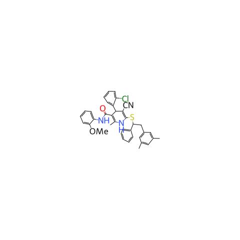 COc1ccccc1NC(=O)C1=C(C)NC(SC(Cc2cc(C)cc(C)c2)c2ccccc2)=C(C#N)C1c1ccccc1Cl